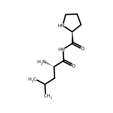 CC(C)C[C@H](N)C(=O)NC(=O)[C@@H]1CCCN1